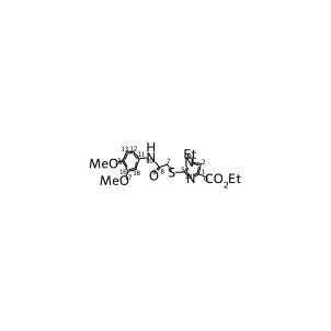 CCOC(=O)c1cn(CC)c(SCC(=O)Nc2ccc(OC)c(OC)c2)n1